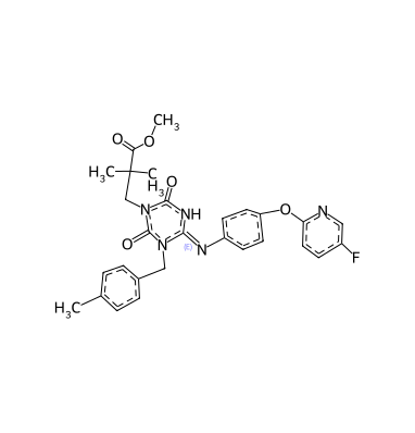 COC(=O)C(C)(C)Cn1c(=O)[nH]/c(=N\c2ccc(Oc3ccc(F)cn3)cc2)n(Cc2ccc(C)cc2)c1=O